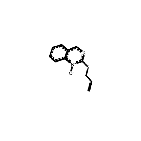 C=CCSc1ncc2ccccc2[n+]1[O-]